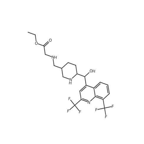 CCOC(=O)CNCC1CCC(C(O)c2cc(C(F)(F)F)nc3c(C(F)(F)F)cccc23)NC1